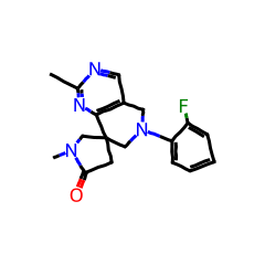 Cc1ncc2c(n1)C1(CC(=O)N(C)C1)CN(c1ccccc1F)C2